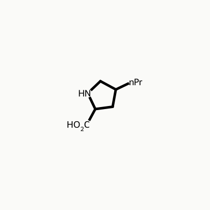 CCCC1CNC(C(=O)O)C1